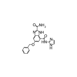 NC(=O)c1nc2cc(OCc3ccccc3)cc(C(=O)Nc3ncc[nH]3)c2[nH]1